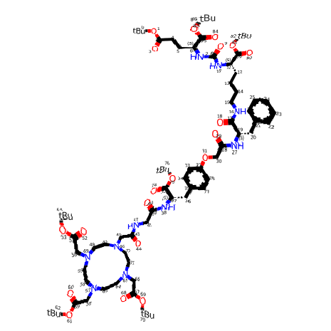 CC(C)(C)OC(=O)CC[C@H](NC(=O)N[C@@H](CCCCNC(=O)[C@H](Cc1ccccc1)NC(=O)COc1ccc(C[C@H](NC(=O)CNC(=O)CN2CCN(CC(=O)OC(C)(C)C)CCN(CC(=O)OC(C)(C)C)CCN(CC(=O)OC(C)(C)C)CC2)C(=O)OC(C)(C)C)cc1)C(=O)OC(C)(C)C)C(=O)OC(C)(C)C